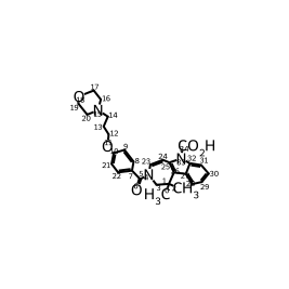 CC1(C)CN(C(=O)c2ccc(OCCCN3CCOCC3)cc2)C=Cc2c1c1ccccc1n2C(=O)O